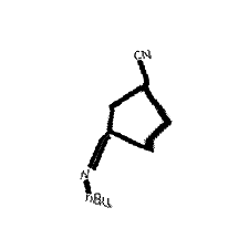 CCCC/N=C1\CCC(C#N)C1